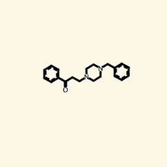 O=C(CCN1CCN(Cc2ccccc2)CC1)c1ccccc1